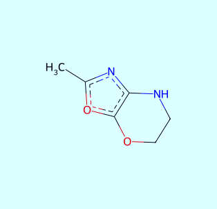 Cc1nc2c(o1)OCCN2